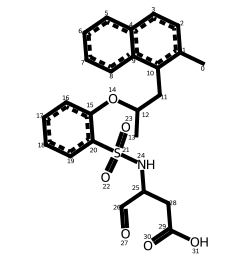 Cc1ccc2ccccc2c1CC(C)Oc1ccccc1S(=O)(=O)NC(C=O)CC(=O)O